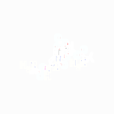 CC(C)[C@@H](N)C(=O)OC[C@H]1O[C@@H](n2ccc(NOC(=O)[C@@H](C)N)nc2=O)[C@@H]2OC(=O)O[C@@H]21